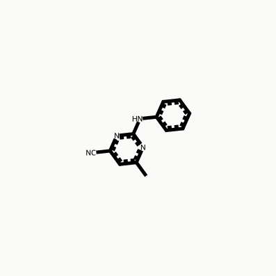 Cc1cc(C#N)nc(Nc2ccccc2)n1